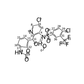 COCN(c1cc(Cl)cnc1C(O)c1cccc2[nH]c(=O)oc12)S(=O)(=O)c1ccc(Cl)c(C(F)(F)F)c1